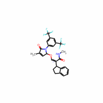 CNC(=O)/C(=C\OC1C=C(C)C(=O)N1c1cc(C(F)(F)F)cc(C(F)(F)F)c1)C1CCc2ccccc21